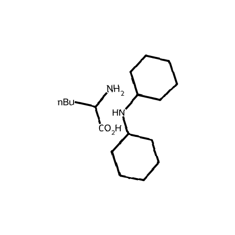 C1CCC(NC2CCCCC2)CC1.CCCCC(N)C(=O)O